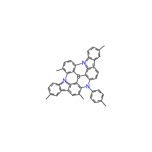 Cc1ccc(N2c3ccc4c5cc(C)ccc5n5c4c3B3c4c-5ccc(C)c4-n4c5ccc(C)cc5c5cc(C)c2c3c54)cc1